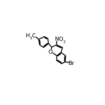 Cc1ccc(C2Oc3ccc(Br)cc3C=C2[N+](=O)[O-])cc1